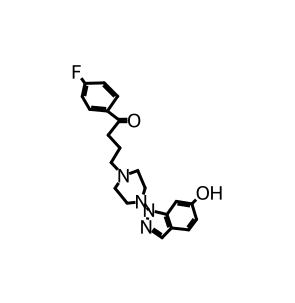 O=C(CCCN1CCN(n2ncc3ccc(O)cc32)CC1)c1ccc(F)cc1